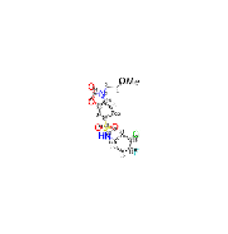 COCCn1c(=O)oc2cc(S(=O)(=O)Nc3ccc(F)c(Cl)c3)ccc21